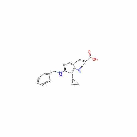 O=C(O)c1cnc2c(C3CC3)c(NCc3ccccc3)ccc2c1